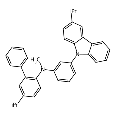 CC(C)c1ccc(N(C)c2cccc(-n3c4ccccc4c4cc(C(C)C)ccc43)c2)c(-c2ccccc2)c1